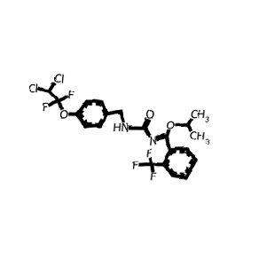 CC(C)OC(=NC(=O)NCc1ccc(OC(F)(F)C(Cl)Cl)cc1)c1ccccc1C(F)(F)F